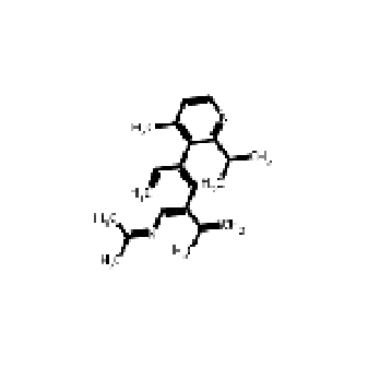 C=C/C(=C\C(=C\N=C(C)C)C(=C)C)c1c(C)ccnc1C(C)C